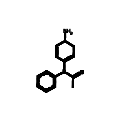 CC(=O)N(C1=CCC(N)C=C1)c1ccccc1